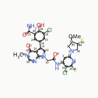 CO[C@@H]1CN(c2cc(NC(=O)Cn3cc(-c4cc(Cl)c(O)c(C(N)=O)c4)c4c(=O)n(C)cnc43)c(Cl)c(F)n2)C[C@@H]1F